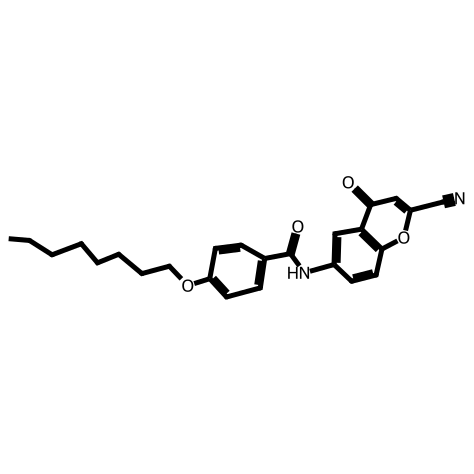 CCCCCCCCOc1ccc(C(=O)Nc2ccc3oc(C#N)cc(=O)c3c2)cc1